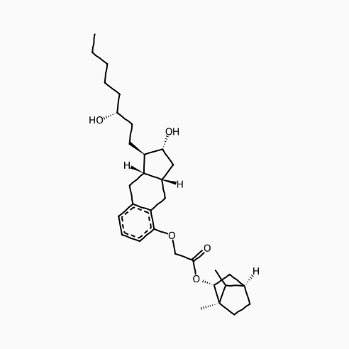 CCCCC[C@@H](O)CC[C@@H]1[C@H]2Cc3cccc(OCC(=O)O[C@@H]4C[C@H]5CC[C@]4(C)C5C)c3C[C@H]2C[C@H]1O